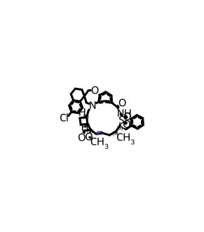 CO[C@]1(C=O)/C=C/C[C@H](C)[C@H](Cc2ccccc2)S(=O)(=O)NC(=O)c2ccc3c(c2)N(C[C@@H]2CC[C@H]21)CC1(CCCc2cc(Cl)ccc21)CO3